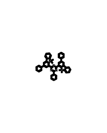 C[Si]1(C)c2ccccc2-c2cc(-c3ccccc3)cc(-c3nc(-c4ccccc4)nc(-c4cc(-c5ccccc5)cc5c4[Si](C)(C)c4ccccc4-5)n3)c21